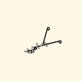 O=C(O)CCC(NC(=O)c1ccc(NC(=O)CCSCC(COC(=O)CCCCCCCCCCCC2CCCCC2)OC(=O)CCCCCCCCCCCC2CCCCC2)cc1)C(=O)O